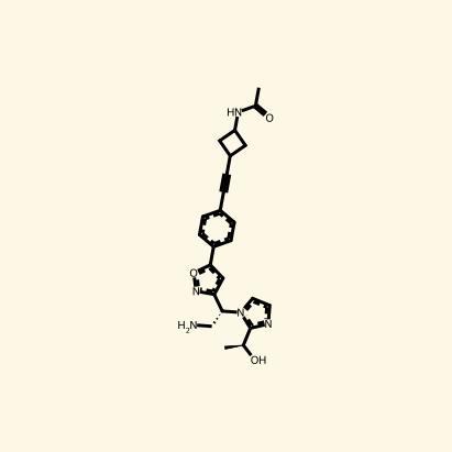 CC(=O)NC1CC(C#Cc2ccc(-c3cc([C@@H](CN)n4ccnc4[C@H](C)O)no3)cc2)C1